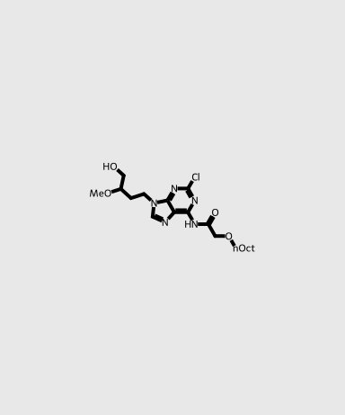 CCCCCCCCOCC(=O)Nc1nc(Cl)nc2c1ncn2CCC(CO)OC